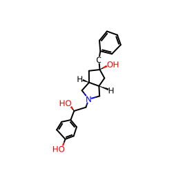 Oc1ccc([C@@H](O)CN2C[C@@H]3C[C@](O)(Cc4ccccc4)C[C@@H]3C2)cc1